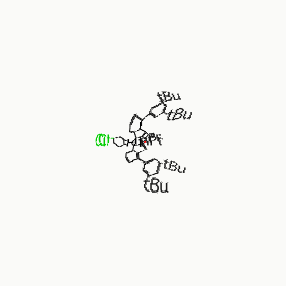 CCCC1=Cc2c(-c3cc(C(C)(C)C)cc(C(C)(C)C)c3)cccc2[CH]1[Hf+2]1([CH]2C(CCC)=Cc3c(-c4cc(C(C)(C)C)cc(C(C)(C)C)c4)cccc32)[CH]2CCCC[CH]21.[Cl-].[Cl-]